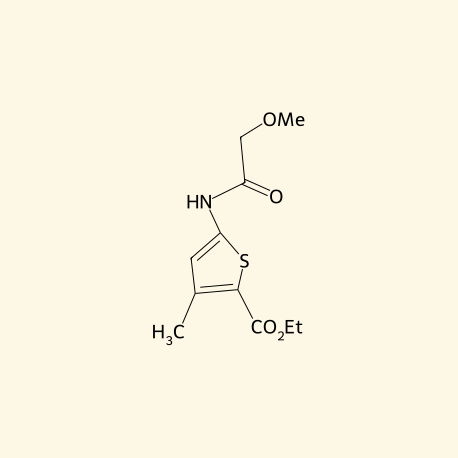 CCOC(=O)c1sc(NC(=O)COC)cc1C